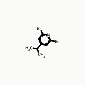 CC(C)c1cc(Br)nc(Br)c1